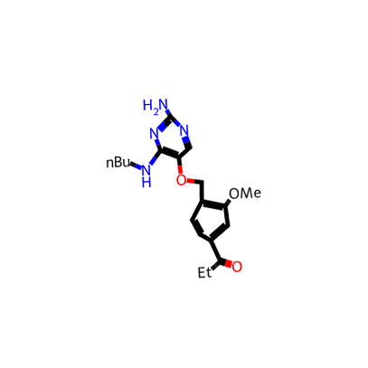 CCCCNc1nc(N)ncc1OCc1ccc(C(=O)CC)cc1OC